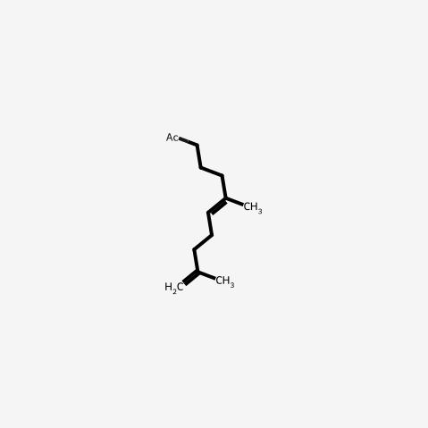 C=C(C)CCC=C(C)CCCC(C)=O